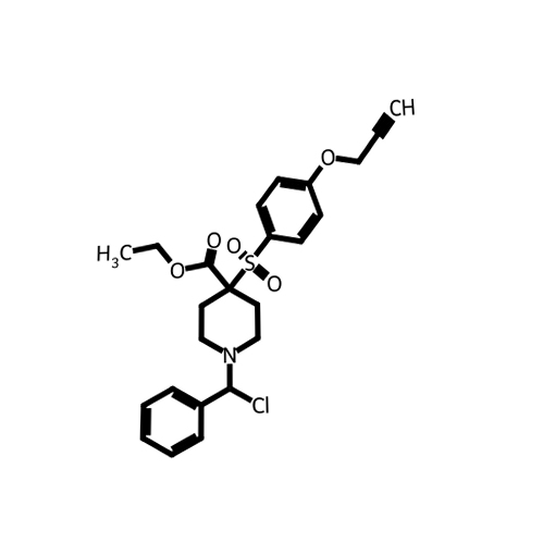 C#CCOc1ccc(S(=O)(=O)C2(C(=O)OCC)CCN(C(Cl)c3ccccc3)CC2)cc1